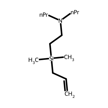 C=CC[Si](C)(C)CCN(CCC)CCC